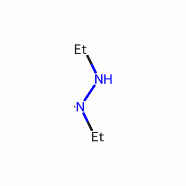 CC[N]NCC